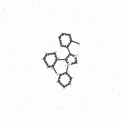 Cc1ccccc1-c1oc[n+](-c2ccccc2)c1-c1ccccc1C